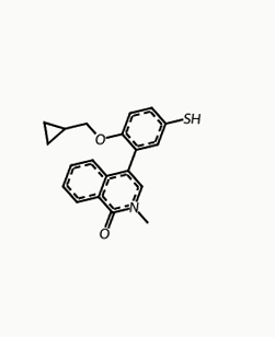 Cn1cc(-c2cc(S)ccc2OCC2CC2)c2ccccc2c1=O